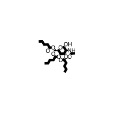 CCCCC(=O)OC[C@H]1OC(O)[C@@H](NC(C)=O)[C@@H](OC(=O)CCCC)[C@@H]1OC(=O)CCCC